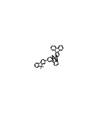 CC1(C)c2ccccc2-c2ccc(-c3ccc4c(c3)c3ccccc3n4-c3ccc4c5ccccc5c5ccccc5c4c3)cc21